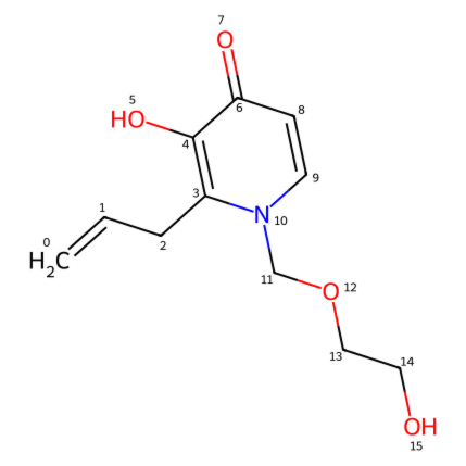 C=CCc1c(O)c(=O)ccn1COCCO